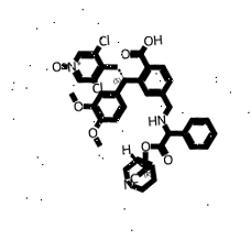 COc1ccc([C@H](Cc2c(Cl)c[n+]([O-])cc2Cl)c2cc(CNC(C(=O)O[C@H]3CN4CCC3CC4)c3ccccc3)ccc2C(=O)O)cc1OC